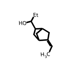 CC=C1CC2CC1CC2C(O)CC